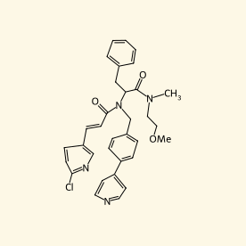 COCCN(C)C(=O)C(Cc1ccccc1)N(Cc1ccc(-c2ccncc2)cc1)C(=O)C=Cc1ccc(Cl)nc1